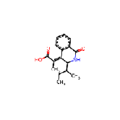 CCC(C)C1NC(=O)c2ccccc2C1=C(C)C(=O)O